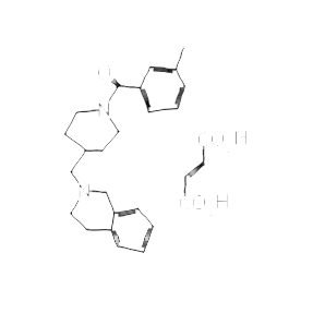 Cc1cccc(C(=O)N2CCC(CN3CCc4ccccc4C3)CC2)c1.O=C(O)C=CC(=O)O